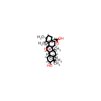 C[C@H]1[C@H](C)CC[C@]2(CC(=O)O)CC[C@]3(CO)C(=CC[C@@H]4[C@@]5(C)CC[C@H](O)C(C)(C)[C@@H]5CC[C@]43C)[C@H]12